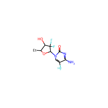 CCC1OC(n2cc([18F])c(N)nc2=O)C(F)(F)C1O